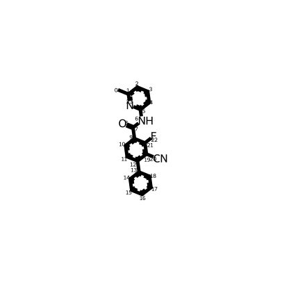 Cc1cccc(NC(=O)c2ccc(-c3ccccc3)c(C#N)c2F)n1